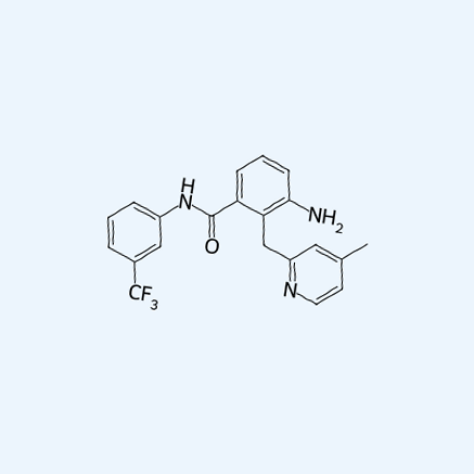 Cc1ccnc(Cc2c(N)cccc2C(=O)Nc2cccc(C(F)(F)F)c2)c1